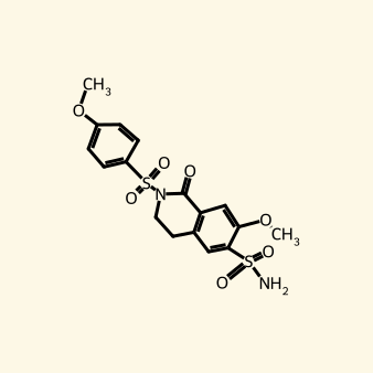 COc1ccc(S(=O)(=O)N2CCc3cc(S(N)(=O)=O)c(OC)cc3C2=O)cc1